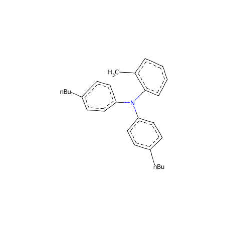 CCCCc1ccc(N(c2ccc(CCCC)cc2)c2ccccc2C)cc1